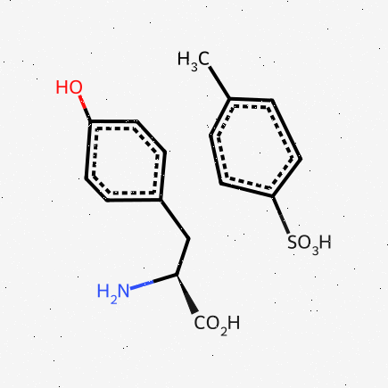 Cc1ccc(S(=O)(=O)O)cc1.N[C@@H](Cc1ccc(O)cc1)C(=O)O